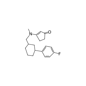 CN(CC1CCCC(c2ccc(F)cc2)C1)C1=CC(=O)CC1